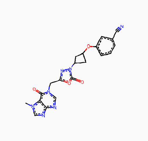 Cn1cnc2ncn(Cc3nn(C4CC(Oc5cccc(C#N)c5)C4)c(=O)o3)c(=O)c21